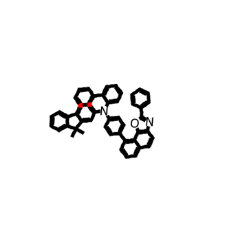 CC1(C)c2ccccc2-c2ccc(N(c3ccc(-c4cccc5ccc6nc(-c7ccccc7)oc6c45)cc3)c3ccccc3-c3ccccc3)cc21